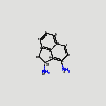 Nc1ccc2cccc3c2c1C(N)C3